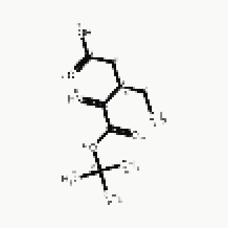 CC[C@H](CC(=O)O)C(=N)C(=O)OC(C)(C)C